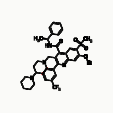 CCOc1cc2nc(-c3cccc(C(F)(F)F)c3)c(CN3CCC(N4CCCCC4)CC3)c(C(=O)N[C@@H](C)c3ccccc3)c2cc1S(C)(=O)=O